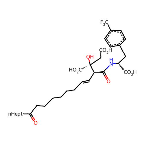 CCCCCCCC(=O)CCCCCC/C=C/[C@H](C(=O)N[C@@H](Cc1ccc(C(F)(F)F)cc1)C(=O)O)[C@@](O)(CC(=O)O)C(=O)O